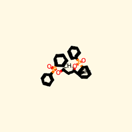 CC(C)CC(CC(C)OP(=O)(c1ccccc1)c1ccccc1)OP(=O)(c1ccccc1)c1ccccc1